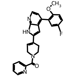 COc1ccc(F)cc1-c1ccnc2[nH]c(C3=CCN(C(=O)c4ccccn4)CC3)cc12